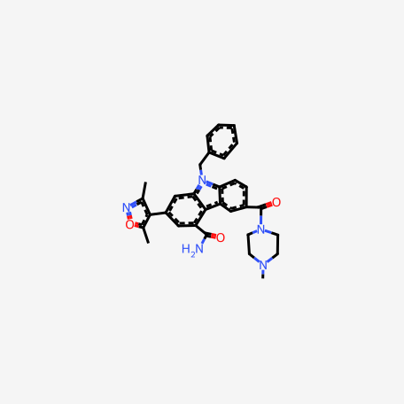 Cc1noc(C)c1-c1cc(C(N)=O)c2c3cc(C(=O)N4CCN(C)CC4)ccc3n(Cc3ccccc3)c2c1